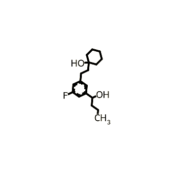 CCCC(O)c1cc(F)cc(CCC2(O)CCCCC2)c1